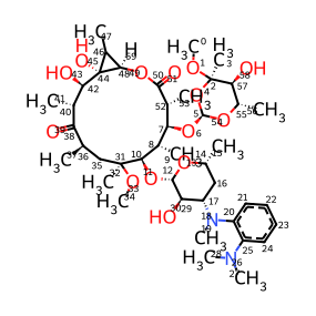 CO[C@]1(C)O[C@H](O[C@H]2[C@H](C)[C@@H](O[C@@H]3O[C@H](C)C[C@H](N(C)c4ccccc4N(C)C)[C@H]3O)[C@@](C)(OC)C[C@@H](C)C(=O)[C@H](C)[C@@H](O)[C@@]3(O)C(C)[C@H]3OC(=O)[C@@H]2C)O[C@@H](C)[C@@H]1O